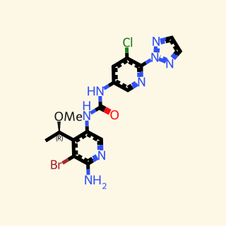 CO[C@H](C)c1c(NC(=O)Nc2cnc(-n3nccn3)c(Cl)c2)cnc(N)c1Br